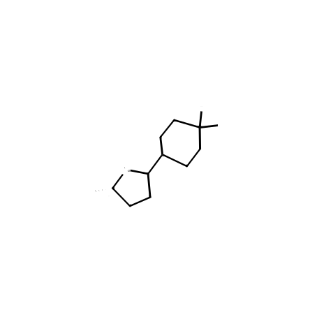 CC[C@H]1CCC(C2CCC(F)(F)CC2)N1